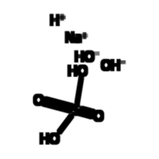 O=S(=O)(O)O.[H+].[Na+].[OH-].[OH-]